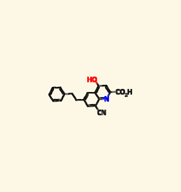 N#Cc1cc(CCc2ccccc2)cc2c(O)cc(C(=O)O)nc12